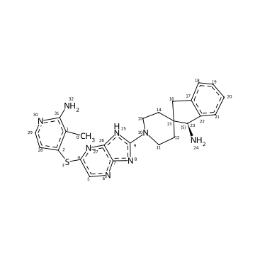 Cc1c(Sc2cnc3nc(N4CCC5(CC4)Cc4ccccc4[C@H]5N)[nH]c3n2)ccnc1N